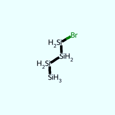 [SiH3][SiH2][SiH2][SiH2]Br